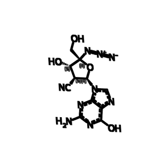 N#C[C@@H]1[C@H](n2cnc3c(O)nc(N)nc32)O[C@@](CO)(N=[N+]=[N-])[C@H]1O